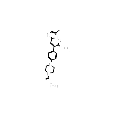 CC(C)(C)OC(=O)N1CCN(c2ccc(-c3cc4ncc(I)n4nc3C(=O)O)cc2)CC1